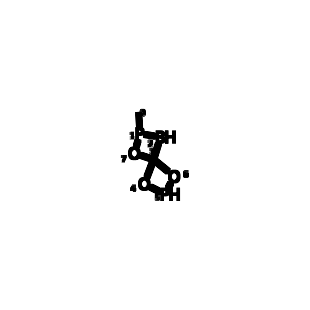 CP1BC2(OPO2)O1